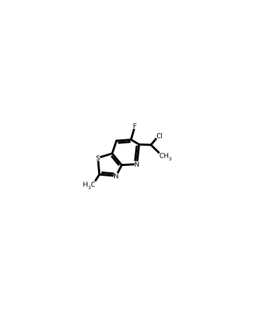 Cc1nc2nc(C(C)Cl)c(F)cc2s1